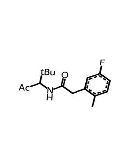 CC(=O)C(NC(=O)Cc1cc(F)ccc1C)C(C)(C)C